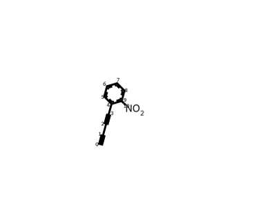 C#CC#Cc1ccccc1[N+](=O)[O-]